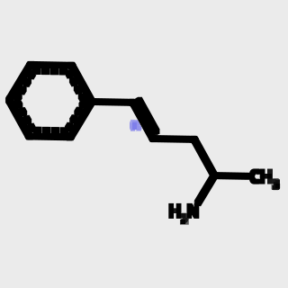 CC(N)C/C=C/c1ccccc1